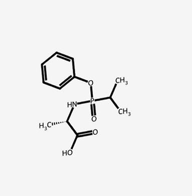 CC(C)P(=O)(N[C@@H](C)C(=O)O)Oc1ccccc1